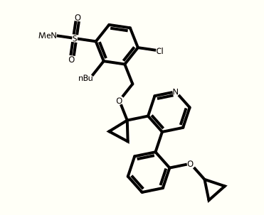 CCCCc1c(S(=O)(=O)NC)ccc(Cl)c1COC1(c2cnccc2-c2ccccc2OC2CC2)CC1